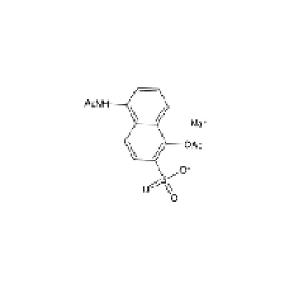 CC(=O)Nc1cccc2c(OC(C)=O)c(S(=O)(=O)[O-])ccc12.[Na+]